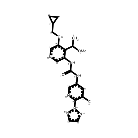 COC(C)c1c(NC(=O)Nc2cnc(-n3nccn3)c(Cl)c2)cncc1OCC1CC1